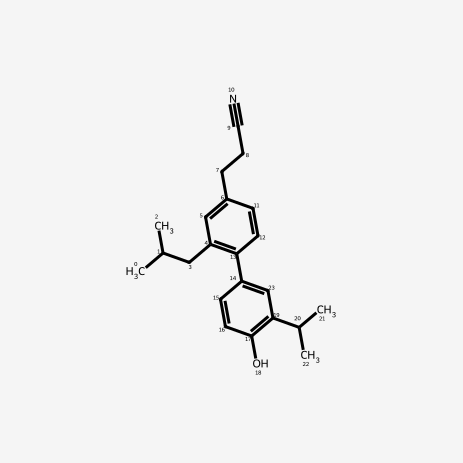 CC(C)Cc1cc(CCC#N)ccc1-c1ccc(O)c(C(C)C)c1